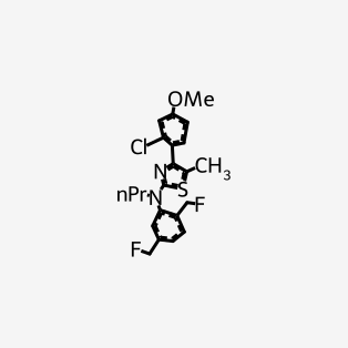 CCCN(c1nc(-c2ccc(OC)cc2Cl)c(C)s1)c1cc(CF)ccc1CF